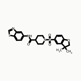 CC1(C)COc2ccc(S(=O)(=O)N3CCC(C(=O)Nc4ccc5scnc5c4)CC3)cc21